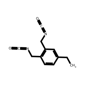 CCc1ccc(CN=C=O)c(CN=C=O)c1